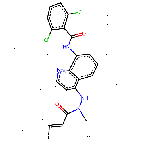 CC=CC(=O)N(C)Nc1ccnc2c(NC(=O)c3c(Cl)cccc3Cl)cccc12